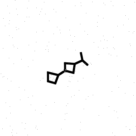 CC(C)C1CN(C2CCC2)C1